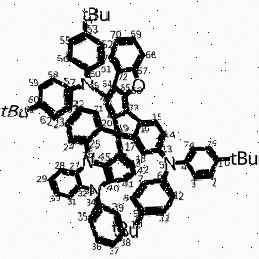 CC(C)(C)c1ccc(N(c2ccc(C(C)(C)C)cc2)c2ccc3c(c2)C2(c4ccccc4N4c5ccccc5N(c5ccccc5)c5cccc2c54)c2cc(N(c4ccc(C(C)(C)C)cc4)c4ccc(C(C)(C)C)cc4)c4c(oc5ccccc54)c2-3)cc1